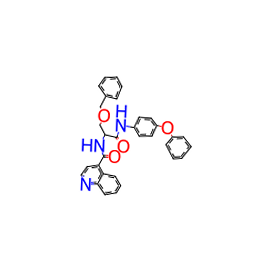 O=C(NC(COCc1ccccc1)C(=O)Nc1ccc(Oc2ccccc2)cc1)c1ccnc2ccccc12